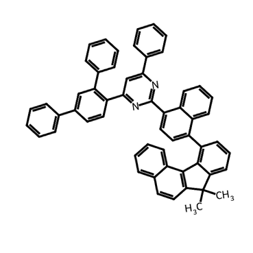 CC1(C)c2cccc(-c3ccc(-c4nc(-c5ccccc5)cc(-c5ccc(-c6ccccc6)cc5-c5ccccc5)n4)c4ccccc34)c2-c2c1ccc1ccccc21